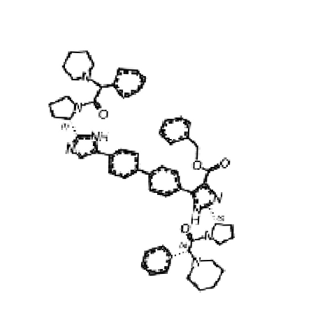 O=C(OCc1ccccc1)c1nc([C@@H]2CCCN2C(=O)[C@@H](c2ccccc2)N2CCCCC2)[nH]c1-c1ccc(-c2ccc(-c3cnc([C@@H]4CCCN4C(=O)C(c4ccccc4)N4CCCCC4)[nH]3)cc2)cc1